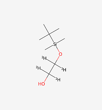 [2H]C([2H])(O)C([2H])([2H])O[Si](C)(C)C(C)(C)C